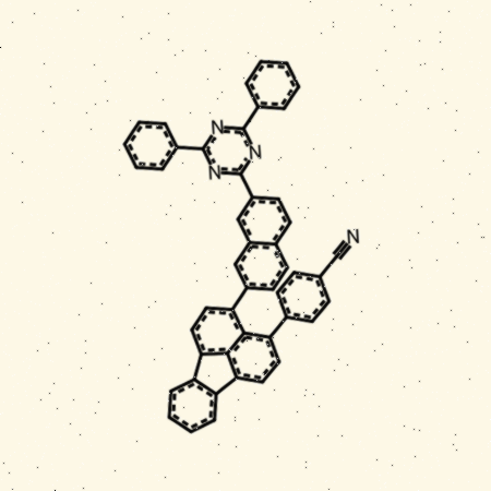 N#Cc1ccc(-c2ccc3c4c(ccc(-c5ccc6ccc(-c7nc(-c8ccccc8)nc(-c8ccccc8)n7)cc6c5)c24)-c2ccccc2-3)cc1